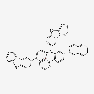 c1ccc(-c2ccc(-c3ccc4ccccc4c3)cc2N(c2ccc(-c3ccc4sc5ccccc5c4c3)cc2)c2ccc3oc4ccccc4c3c2)cc1